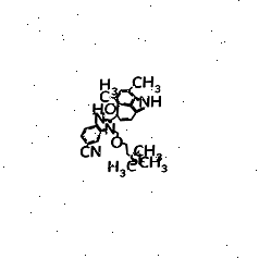 Cc1cc(C)c2[nH]cc3c2c1C(O)(c1nc2ccc(C#N)cc2n1COCC[Si](C)(C)C)C=C3